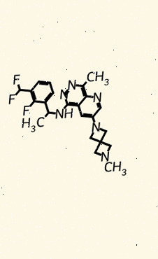 Cc1nnc(NC(C)c2cccc(C(F)F)c2F)c2cc(N3CC4(CN(C)C4)C3)cnc12